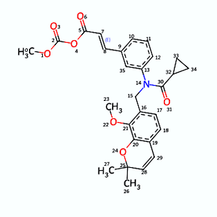 COC(=O)OC(=O)/C=C/c1cccc(N(Cc2ccc3c(c2OC)OC(C)(C)C=C3)C(=O)C2CC2)c1